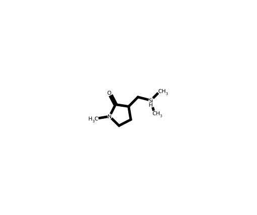 CN1CCC(C[SiH](C)C)C1=O